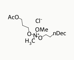 CCCCCCCCCCCCO[N+](C)(OC)OCCCOC(C)=O.[Cl-]